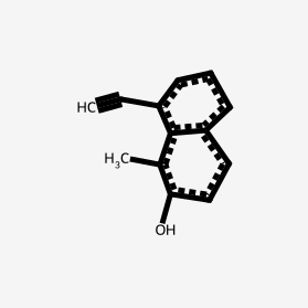 C#Cc1cccc2ccc(O)c(C)c12